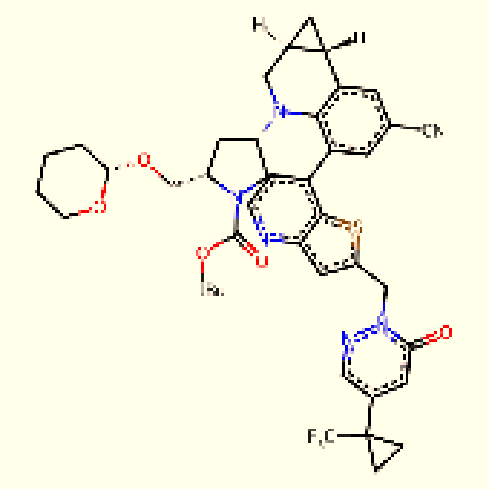 CC(C)(C)OC(=O)N1C[C@@H](N2C[C@H]3C[C@@H]3c3cc(C#N)cc(-c4ccnc5cc(Cn6ncc(C7(C(F)(F)F)CC7)cc6=O)sc45)c32)C[C@H]1CO[C@H]1CCCCO1